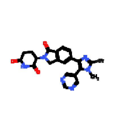 CC(C)c1nc(-c2ccc3c(c2)CN([C@@H]2CCC(=O)NC2=O)C3=O)c(-c2cncnc2)n1C